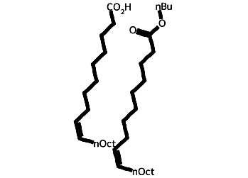 CCCCCCCC/C=C\CCCCCCCC(=O)O.CCCCCCCC/C=C\CCCCCCCC(=O)OCCCC